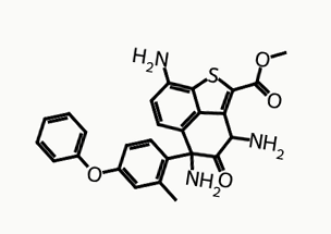 COC(=O)c1sc2c(N)ccc3c2c1C(N)C(=O)C3(N)c1ccc(Oc2ccccc2)cc1C